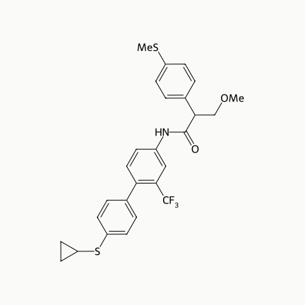 COCC(C(=O)Nc1ccc(-c2ccc(SC3CC3)cc2)c(C(F)(F)F)c1)c1ccc(SC)cc1